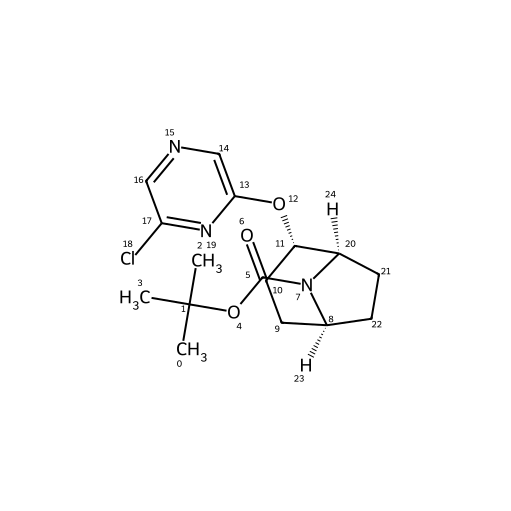 CC(C)(C)OC(=O)N1[C@@H]2CC[C@H](Oc3cncc(Cl)n3)[C@H]1CC2